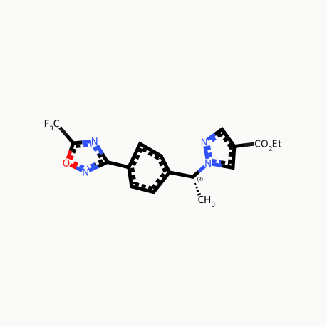 CCOC(=O)c1cnn([C@H](C)c2ccc(-c3noc(C(F)(F)F)n3)cc2)c1